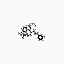 CC(C)=C[C@@H]1c2cccc3c2[C@@](N)(CCN1C(=O)OCc1ccccc1)C(=O)N3